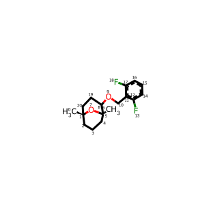 C[C@]12CCC[C@](C)(O1)C(OCc1c(F)cccc1F)CC2